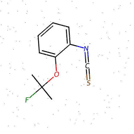 CC(C)(F)Oc1ccccc1N=C=S